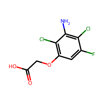 Nc1c(Cl)c(F)cc(OCC(=O)O)c1Cl